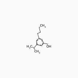 CCCCc1cc([CH]O)cc(C(C)C)c1